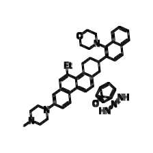 CCc1cc2cc(N3CCN(C)CC3)ccc2c2ccc3c(c12)CCC(c1ccc2ccccc2c1N1CCOCC1)C3.N=[N+]=N.O=C1C2=CC=C1C=C2